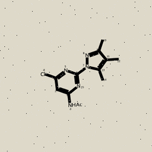 CC(=O)Nc1cc(Cl)nc(-n2nc(C)c(C)c2C)n1